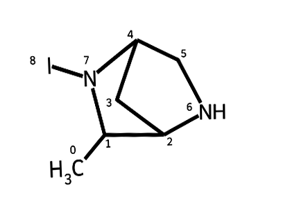 CC1C2CC(CN2)N1I